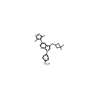 Cc1noc(C)c1-c1cnc2c(c1)c(CC1CC(F)(F)C1)cn2-c1ccc(C(=O)O)cc1